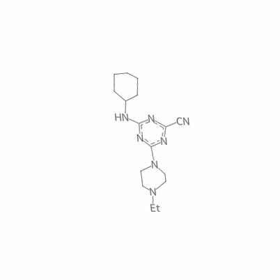 CCN1CCN(c2nc(C#N)nc(NC3CCCCC3)n2)CC1